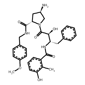 COc1ccc(CNC(=O)[C@@H]2C[C@@H](N)CN2C(=O)[C@@H](O)[C@H](Cc2ccccc2)NC(=O)c2cccc(O)c2C)cc1